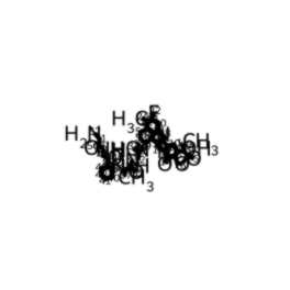 CC[C@@]1(O)C(=O)OCc2c1cc1n(c2=O)Cc2c-1nc1cc(F)c(C)c3c1c2[C@@H](NC(=O)CNC(=O)C(C)Nc1ccccc1C(=O)CNC(=O)CN)CC3